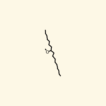 CCCCCCCCCC(CCCCCCC)OC